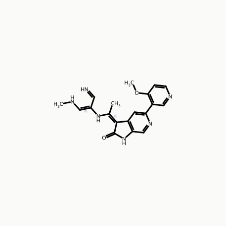 CN/C=C(\C=N)N/C(C)=C1\C(=O)Nc2cnc(-c3cnccc3OC)cc21